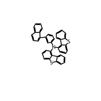 c1cc(-c2cccc3ccccc23)cc(N(c2cccc3sc4ccccc4c23)c2cccc3sc4ccccc4c23)c1